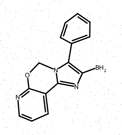 Bc1nc2n(c1-c1ccccc1)COc1ncccc1-2